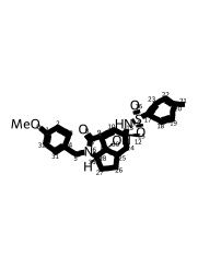 COc1ccc(CN2C(=O)C3=C[C@](C)(NS(=O)(=O)c4ccc(C)cc4)CC4CC[C@@H]2[C@@]34O)cc1